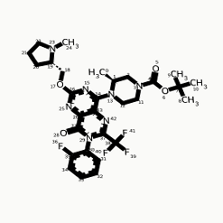 C[C@H]1CN(C(=O)OC(C)(C)C)CCN1c1nc(OC[C@@H]2CCCN2C)nc2c(=O)n(-c3ccccc3F)c(C(F)(F)F)nc12